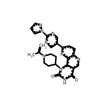 C=C(C)N1CCC(n2c(=O)[nH]c(=O)c3cnc4ccc(-c5cnc(-n6cccn6)nc5)nc4c32)CC1